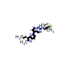 CCC[C@@H]1C(C)=Nc2ccc(-c3ccn4nc(NCC(C)(C)C(F)(F)F)ncc34)nc21